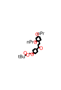 CCCOc1ccc(C=CC(=O)c2ccc(OCOC(=O)C(C)(C)C)cc2)c(OCCC)c1